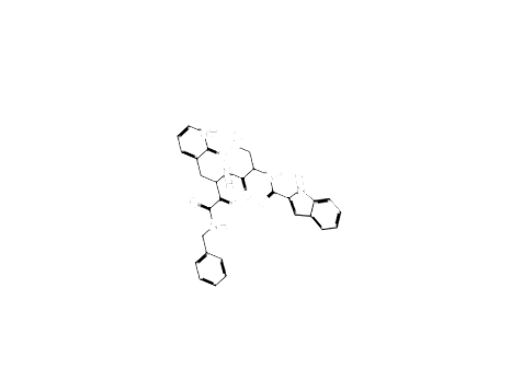 CCC(NC(=O)c1cc2ccccc2[nH]1)C(=O)NC(Cc1ccc[nH]c1=O)C(=O)C(=O)NCc1ccccc1